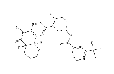 CCN1C(=O)C2(F)COCC[C@@H]2c2cc(C3CC(NC(=O)c4ccnc(C(C)(F)F)c4)CCC3C)cnc21